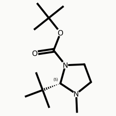 CN1CCN(C(=O)OC(C)(C)C)[C@H]1C(C)(C)C